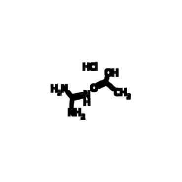 CC(=O)O.Cl.N=C(N)N